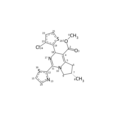 COC(=O)C1=C2C[C@H](C)CN2C(c2nccs2)=NC1c1sccc1Cl